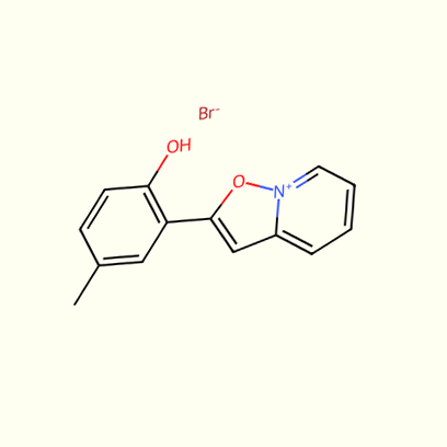 Cc1ccc(O)c(-c2cc3cccc[n+]3o2)c1.[Br-]